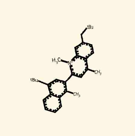 Cc1c(-c2cc(C)c3ccc(CC(C)(C)C)cc3[n+]2C)cc(C(C)(C)C)c2ccccc12